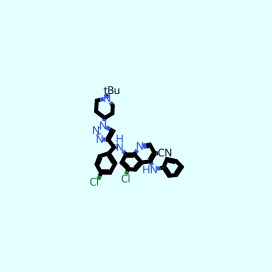 CC(C)(C)N1CCC(n2cc([C@@H](Nc3cc(Cl)cc4c(Nc5ccccc5)c(C#N)cnc34)c3ccc(Cl)cc3)nn2)CC1